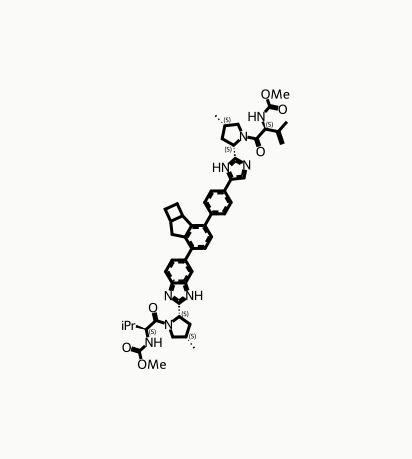 C=C(C)[C@H](NC(=O)OC)C(=O)N1C[C@@H](C)C[C@H]1c1ncc(-c2ccc(-c3ccc(-c4ccc5nc([C@@H]6C[C@H](C)CN6C(=O)[C@@H](NC(=O)OC)C(C)C)[nH]c5c4)c4c3C3CCC3C4)cc2)[nH]1